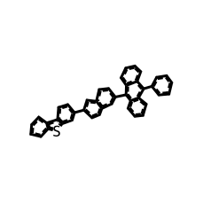 c1ccc(-c2c3ccccc3c(-c3ccc4cc(-c5ccc6c(c5)sc5ccccc56)ccc4c3)c3ccccc23)cc1